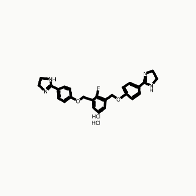 Cl.Cl.Fc1c(COc2ccc(C3=NCCN3)cc2)cccc1COc1ccc(C2=NCCN2)cc1